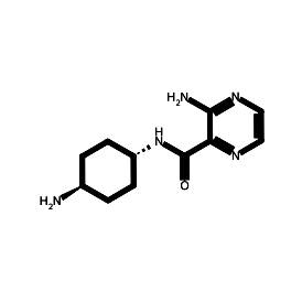 Nc1nccnc1C(=O)N[C@H]1CC[C@H](N)CC1